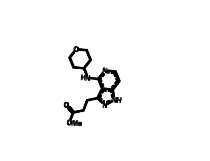 COC(=O)CCc1n[nH]c2ccnc(NC3CCOCC3)c12